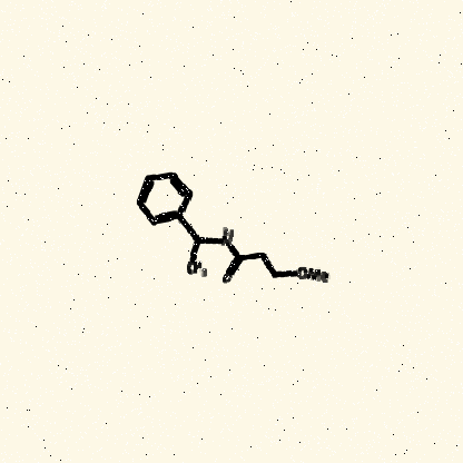 COCCC(=O)NC(C)c1ccccc1